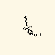 O=C(NCCCCCI)C1CCN(C(=O)O)CC1